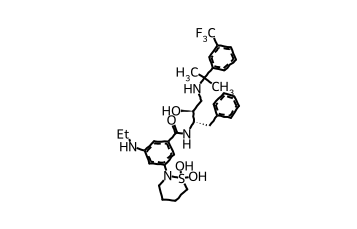 CCNc1cc(C(=O)N[C@@H](Cc2ccccc2)[C@@H](O)CNC(C)(C)c2cccc(C(F)(F)F)c2)cc(N2CCCCS2(O)O)c1